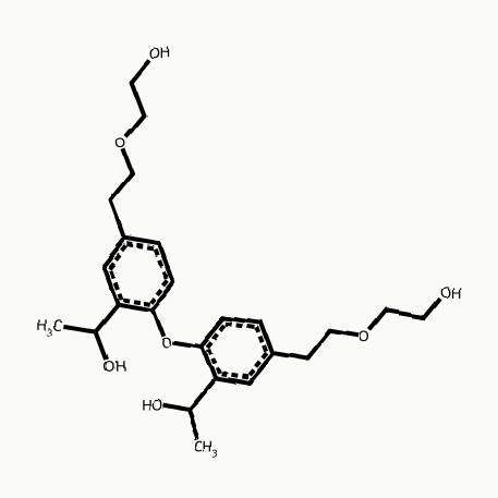 CC(O)c1cc(CCOCCO)ccc1Oc1ccc(CCOCCO)cc1C(C)O